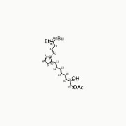 CCCC[C@H](CC)CC=C[C@H]1C=CC[C@@H]1CCCCCCC(O)COC(C)=O